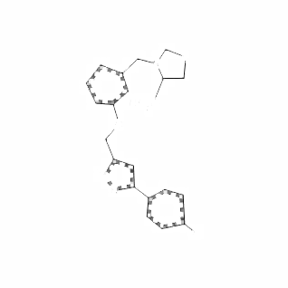 O=C(O)C1CSCN1Cc1cccc(OCc2cc(-c3ccc(Cl)cc3)no2)c1